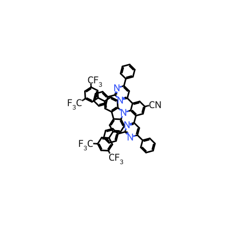 N#Cc1cc(-c2cc(-c3ccccc3)nc(-c3ccccc3)n2)c(-n2c3ccc(-c4cc(C(F)(F)F)cc(C(F)(F)F)c4)cc3c3cc(-c4cc(C(F)(F)F)cc(C(F)(F)F)c4)ccc32)c(-c2cc(-c3ccccc3)nc(-c3ccccc3)n2)c1